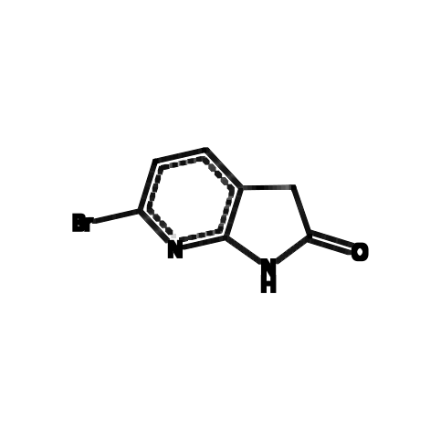 O=C1Cc2ccc(Br)nc2N1